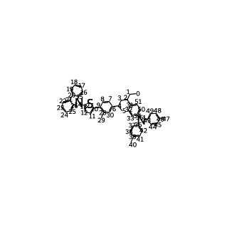 CCC(CC(C)c1ccc(-c2ccc(-n3c4ccccc4c4ccccc43)s2)c(C)c1)c1ccc(N(c2ccc(C)cc2)c2ccc(C)cc2)cc1